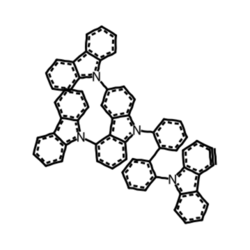 c1ccc2c(c#1)c1ccccc1n2-c1ccccc1-c1ccccc1-n1c2ccc(-n3c4ccccc4c4ccccc43)cc2c2c(-n3c4ccccc4c4ccccc43)cccc21